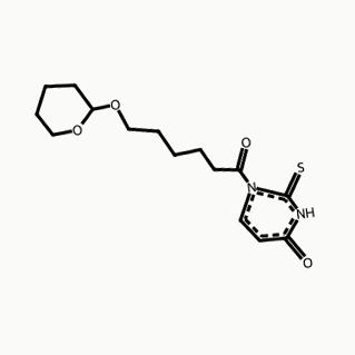 O=C(CCCCCOC1CCCCO1)n1ccc(=O)[nH]c1=S